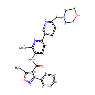 COc1nc(-c2ccc(CN3CCOCC3)nc2)ccc1NC(=O)c1c(-c2ccccc2)noc1C